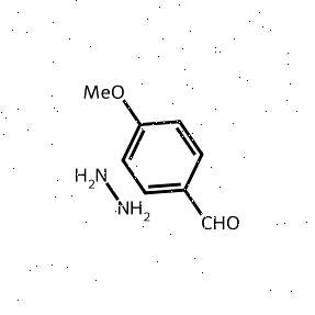 COc1ccc(C=O)cc1.NN